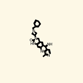 Cc1cc(C(=N)c2cc3c(cc2N)NC(=O)N(C2CN(CC4=CCCC=C4)C2)C3)ccn1